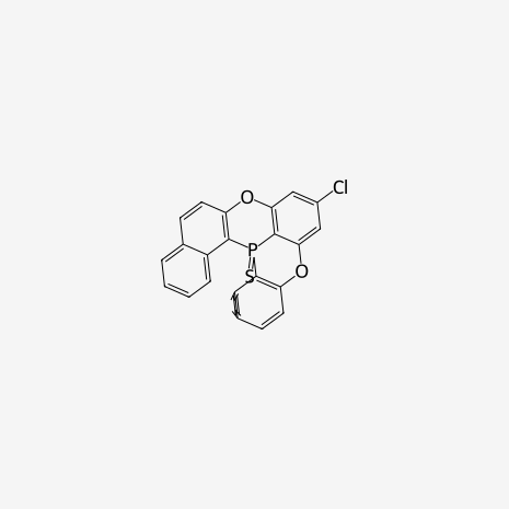 S=P12c3c(cc(Cl)cc3Oc3ccc4ccccc4c31)Oc1ccc3ccccc3c12